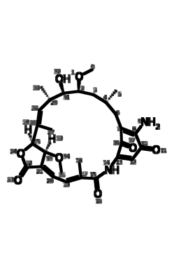 CO[C@H]1C[C@H](C)CC2=C(N)C(=O)C=C(NC(=O)/C(C)=C/C=C3/C(=O)O[C@@H](/C(C)=C/[C@H](C)[C@H]1O)[C@H]3OC)C2=O